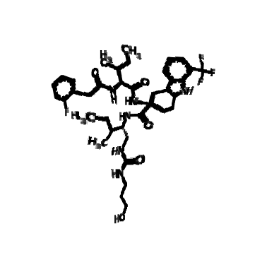 CCC(C)[C@H](NC(=O)Cc1ccccc1F)C(=O)N[C@]1(C(=O)N[C@H](CNC(=O)NCCCO)C(C)CC)CCc2[nH]c3c(C(F)(F)F)cccc3c2C1